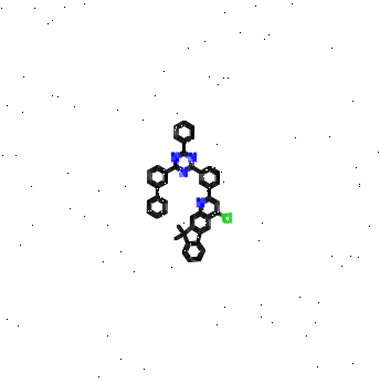 CC1(C)c2ccccc2-c2cc3c(Cl)cc(-c4cccc(-c5nc(-c6ccccc6)nc(-c6cccc(-c7ccccc7)c6)n5)c4)nc3cc21